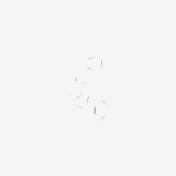 O=C1CNc2ncc(-c3cccnc3)cc2N1Cc1c(F)ccc(F)c1Cl